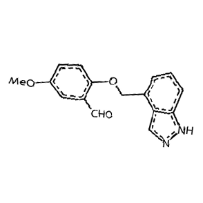 COc1ccc(OCc2cccc3[nH]ncc23)c(C=O)c1